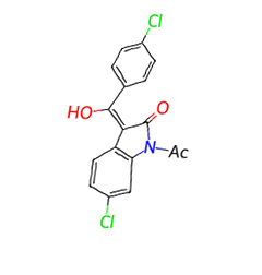 CC(=O)N1C(=O)C(=C(O)c2ccc(Cl)cc2)c2ccc(Cl)cc21